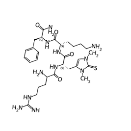 Cn1cc(C[C@H](NC(=O)C(N)CCCNC(=N)N)C(=O)N[C@@H](CCCCN)C(=O)N[C@@H](Cc2ccccc2)C(N)=O)n(C)c1=S